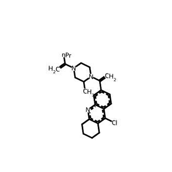 C=C(CCC)N1CCN(C(=C)c2ccc3c(Cl)c4c(nc3c2)CCCC4)C(C)C1